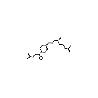 CC(C)CCCC(C)CCCC1CCC(C(=O)CCC(C)C)CC1